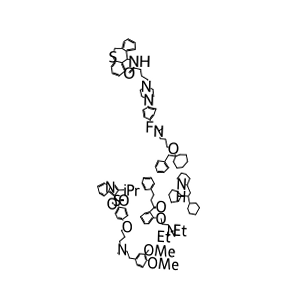 C1CCC(C(CC2CCCCN2)C2CCCCC2)CC1.CCN(CC)CCOc1ccccc1C(=O)CCc1ccccc1.CN(C)CCCOC1(Cc2ccccc2)CCCCCC1.COc1ccc(CCN(C)CCCOc2ccc(S(=O)(=O)c3c(C(C)C)cn4ccccc34)cc2)cc1OC.O=C(CCCN1CCN(c2ccc(F)cc2)CC1)NC1c2ccccc2CSc2ccccc21